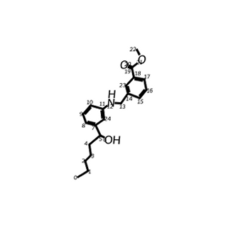 CCCCCC(O)c1cccc(NCc2cccc(C(=O)OC)c2)c1